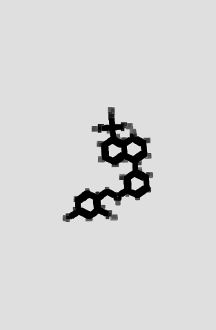 Fc1ccc(COc2cccc(-c3ccnc4c(C(F)(F)F)cccc34)c2)c(F)c1